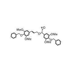 COc1cc(/C=C/CO[C@H](c2cc(OC)c(OCc3ccccc3)c(OC)c2)[C@H]2CO2)cc(OC)c1OCc1ccccc1